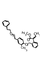 CC=C(C(=O)OC)c1ccccc1COc1ccc(C=NOCCc2ccccc2)cc1C